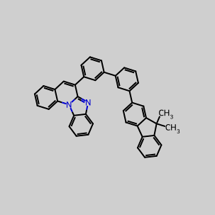 CC1(C)c2ccccc2-c2ccc(-c3cccc(-c4cccc(-c5cc6ccccc6n6c5nc5ccccc56)c4)c3)cc21